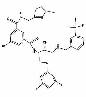 Cc1csc(CN(C)C(=O)c2cc(Br)cc(C(=O)N[C@@H](COc3cc(F)cc(F)c3)[C@H](O)CNCc3cccc(C(F)(F)F)c3)c2)n1